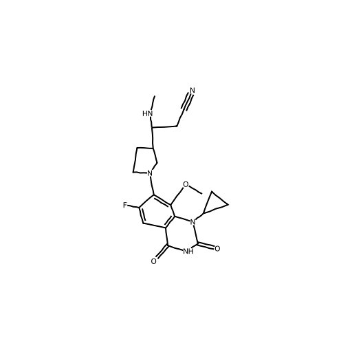 CNC(CC#N)C1CCN(c2c(F)cc3c(=O)[nH]c(=O)n(C4CC4)c3c2OC)C1